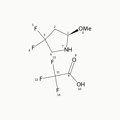 CO[C@@H]1CC(F)(F)CN1.O=C(O)C(F)(F)F